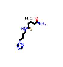 C[C@@H]([CH]C(=S)NCCCCn1cncn1)CC(N)=O